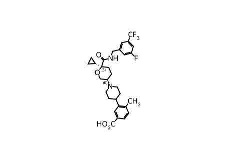 Cc1ccc(C(=O)O)cc1C1CCN([C@@H]2CC[C@@](C(=O)NCc3cc(F)cc(C(F)(F)F)c3)(C3CC3)OC2)CC1